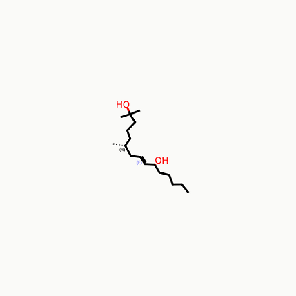 CCCCCC(O)/C=C/C[C@H](C)CCCC(C)(C)O